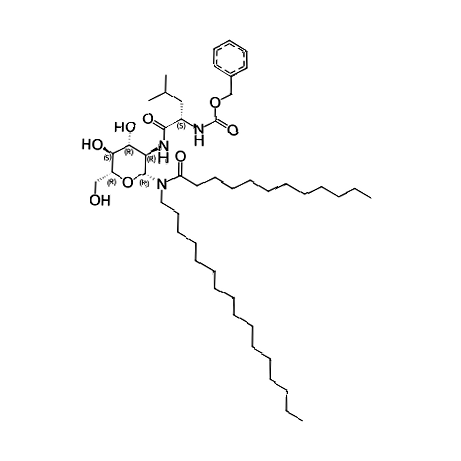 CCCCCCCCCCCCCCCCN(C(=O)CCCCCCCCCCC)[C@@H]1O[C@H](CO)[C@@H](O)[C@H](O)[C@H]1NC(=O)[C@H](CC(C)C)NC(=O)OCc1ccccc1